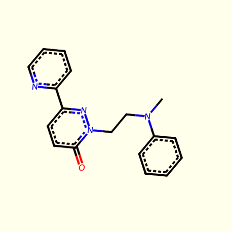 CN(CCn1nc(-c2ccccn2)ccc1=O)c1ccccc1